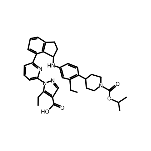 CCc1cc(NC2CCc3cccc(-c4cccc(-n5ncc(C(=O)O)c5CC)n4)c32)ccc1C1CCN(C(=O)OC(C)C)CC1